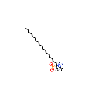 CC=CCCCCCCCCCCCCCCCC(CCC)(P(=O)=O)[N+](C)(C)C